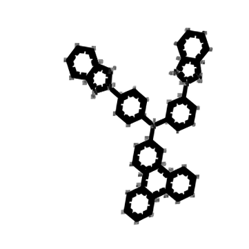 c1cc(N(c2ccc(-n3nc4ccccc4n3)cc2)c2ccc3c4ccccc4c4ccccc4c3c2)cc(-n2nc3ccccc3n2)c1